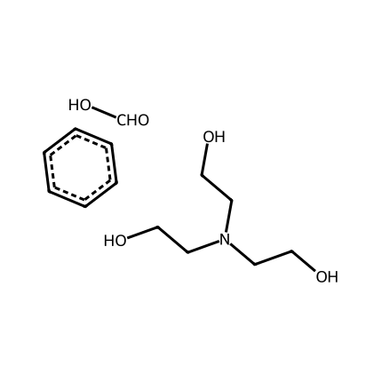 O=CO.OCCN(CCO)CCO.c1ccccc1